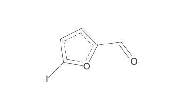 O=Cc1ccc(I)o1